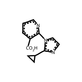 O=C(O)c1cccnc1-n1ccnc1C1CC1